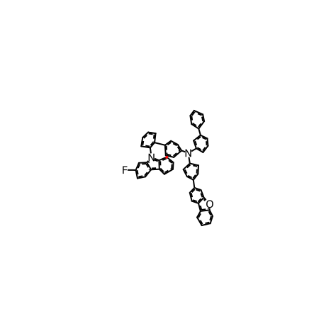 Fc1ccc2c3ccccc3n(-c3ccccc3-c3ccc(N(c4ccc(-c5ccc6c(c5)oc5ccccc56)cc4)c4cccc(-c5ccccc5)c4)cc3)c2c1